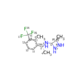 Cc1c([C@@H](C)NC2NN[C@@H]2C)cccc1C(F)(F)F